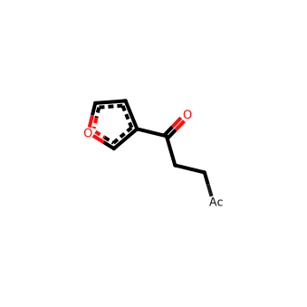 CC(=O)CCC(=O)c1ccoc1